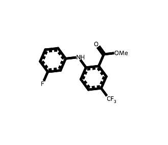 COC(=O)c1cc(C(F)(F)F)ccc1Nc1cccc(F)c1